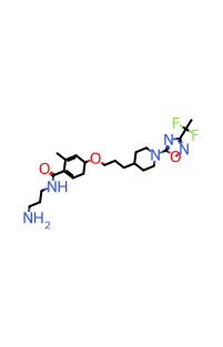 CC1=CC(OCCCC2CCN(c3nc(C(C)(F)F)no3)CC2)CC=C1C(=O)NCCCN